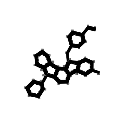 C=Cc1ccc(Cn2c3ccc(C)cc3c3ccc4c(c5ccccc5n4-c4ccccc4)c32)cc1